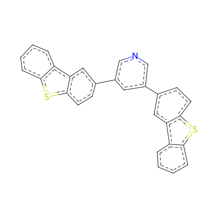 c1ccc2c(c1)sc1ccc(-c3cncc(-c4ccc5sc6ccccc6c5c4)c3)cc12